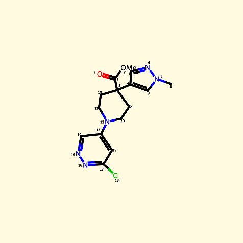 COC(=O)C1(c2cnn(C)c2)CCN(c2cnnc(Cl)c2)CC1